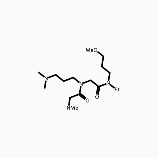 CCN(CCCOC)C(=O)CN(CCCN(C)C)C(=O)CNC